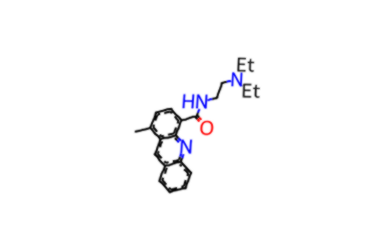 CCN(CC)CCNC(=O)c1ccc(C)c2cc3ccccc3nc12